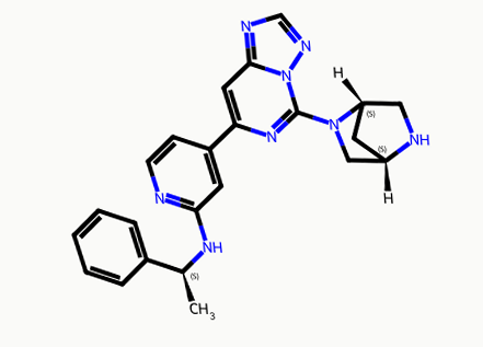 C[C@H](Nc1cc(-c2cc3ncnn3c(N3C[C@@H]4C[C@H]3CN4)n2)ccn1)c1ccccc1